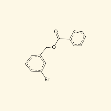 O=C(OCc1cccc(Br)c1)c1ccccc1